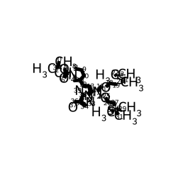 CC(C)(C)OC(=O)N1CCCC(c2cc(N(COCC[Si](C)(C)C)COCC[Si](C)(C)C)n3ncc(C=O)c3n2)C1